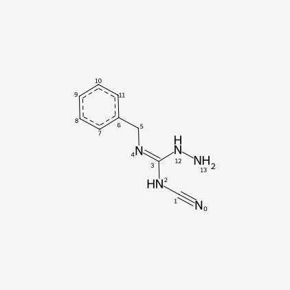 N#CNC(=NCc1ccccc1)NN